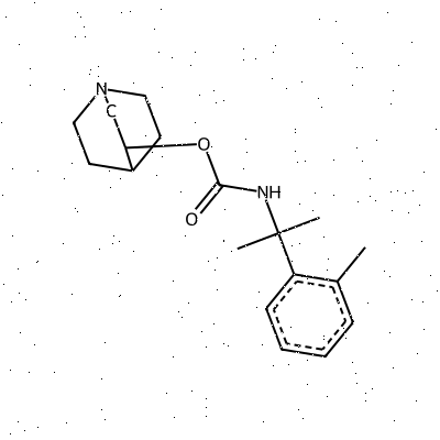 Cc1ccccc1C(C)(C)NC(=O)OC1CN2CCC1CC2